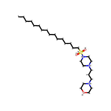 CCCCCCCCCCCCCCCCS(=O)(=O)N1CCN(CCCN2CCOCC2)CC1